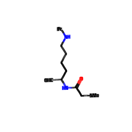 CNCC(=O)NC(C=O)CCCCNC(C)C